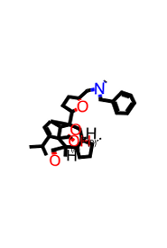 CC(C)C1=CC2C3C2(C2CCC(CN(C)Cc4ccccc4)O2)C[C@@H]2[C@H](C)CC[C@H]2C(C)(C=O)C13C(=O)O